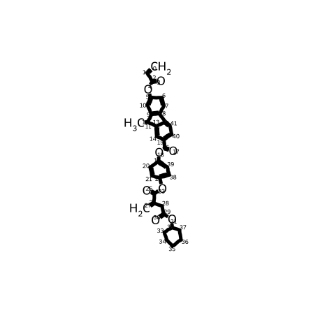 C=CC(=O)Oc1ccc2c(c1)C(C)c1cc(C(=O)Oc3ccc(OC(=O)C(=C)CC(=O)OC4CCCCC4)cc3)ccc1-2